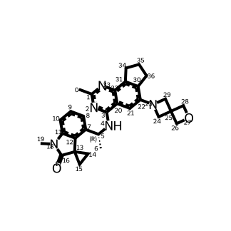 Cc1nc(N[C@H](C)c2cccc3c2C2(CC2)C(=O)N3C)c2cc(N3CC4(COC4)C3)c3c(c2n1)CCC3